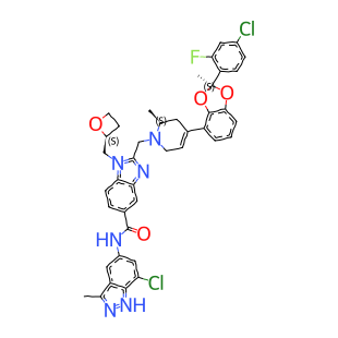 Cc1n[nH]c2c(Cl)cc(NC(=O)c3ccc4c(c3)nc(CN3CC=C(c5cccc6c5O[C@@](C)(c5ccc(Cl)cc5F)O6)C[C@@H]3C)n4C[C@@H]3CCO3)cc12